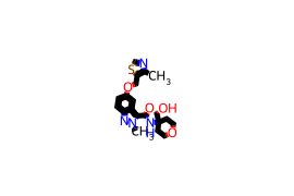 Cc1ncsc1COc1ccc2nn(C)c(C(=O)NC3(CO)CCOCC3)c2c1